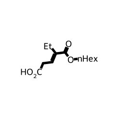 CCCCCCOC(=O)C(=CCC(=O)O)CC